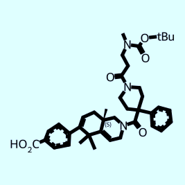 CN(CCC(=O)N1CCC(C(=O)N2CC=C3C(C)(C)C(c4ccc(C(=O)O)cc4)=CC[C@]3(C)C2)(c2ccccc2)CC1)C(=O)OC(C)(C)C